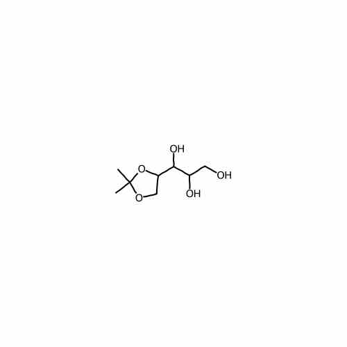 CC1(C)OCC(C(O)C(O)CO)O1